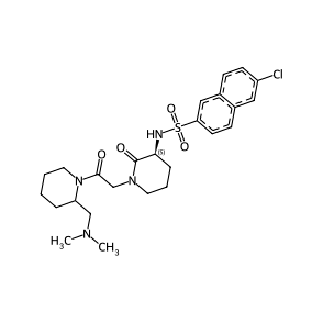 CN(C)CC1CCCCN1C(=O)CN1CCC[C@H](NS(=O)(=O)c2ccc3cc(Cl)ccc3c2)C1=O